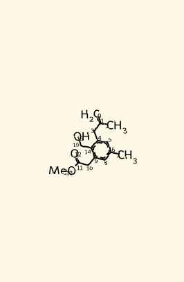 C=C(C)Cc1cc(C)cc(CC(=O)OC)c1CO